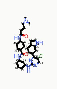 CN(C)C/C=C/C(=O)Nc1ccc(C(=O)Nc2cccc(Nc3ncc(Cl)c(-c4ccc5cc[nH]c5c4)n3)c2)cc1